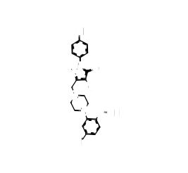 COc1ccc(Cl)cc1N1CCN(Cc2[nH]n(-c3ccc(Cl)cc3)c(=O)c2Cl)CC1